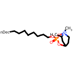 CCCCCCCCCCCCCCCCCCOP1(=O)OC2CC[N+](C)(O1)C(C)C2